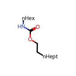 CCCCCCCCCOC(=O)NCCCCCC